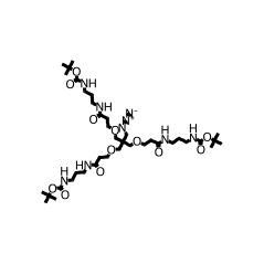 CC(C)(C)OC(=O)NCCCNC(=O)CCOCC(CN=[N+]=[N-])(COCCC(=O)NCCCNC(=O)OC(C)(C)C)COCCC(=O)NCCCNC(=O)OC(C)(C)C